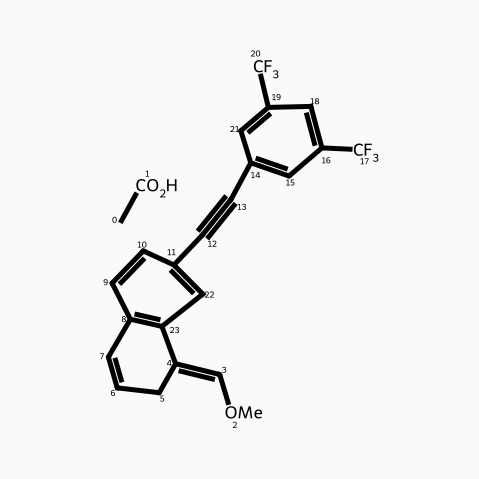 CC(=O)O.COC=C1CC=Cc2ccc(C#Cc3cc(C(F)(F)F)cc(C(F)(F)F)c3)cc21